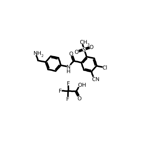 CS(=O)(=O)c1cc(Cl)c(C#N)cc1C(=O)Nc1ccc(CN)cc1.O=C(O)C(F)(F)F